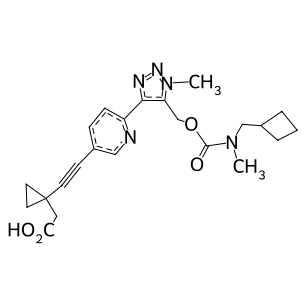 CN(CC1CCC1)C(=O)OCc1c(-c2ccc(C#CC3(CC(=O)O)CC3)cn2)nnn1C